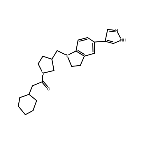 O=C(CC1CCCCC1)N1CCC(CN2CCc3cc(-c4cn[nH]c4)ccc32)C1